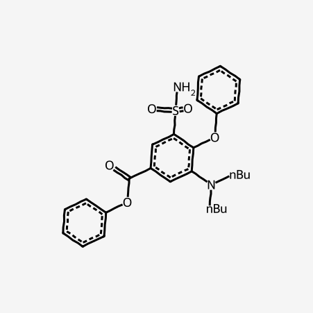 CCCCN(CCCC)c1cc(C(=O)Oc2ccccc2)cc(S(N)(=O)=O)c1Oc1ccccc1